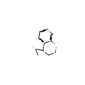 N[C@@H]1C[C@]12CCOc1ccccc12